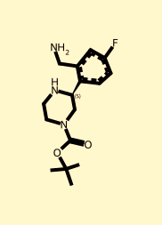 CC(C)(C)OC(=O)N1CCN[C@@H](c2ccc(F)cc2CN)C1